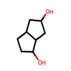 OC1CC2CCC(O)C2C1